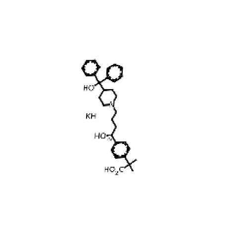 CC(C)(C(=O)O)c1ccc([C@@H](O)CCCN2CCC(C(O)(c3ccccc3)c3ccccc3)CC2)cc1.[KH]